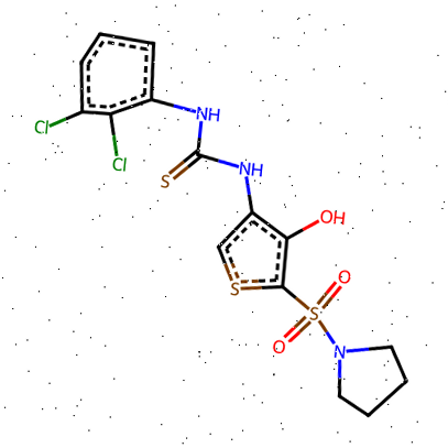 O=S(=O)(c1scc(NC(=S)Nc2cccc(Cl)c2Cl)c1O)N1CCCC1